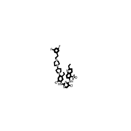 CCc1ccc2c(P(C)(C)=O)c(Nc3nc(Nc4cc(CC)c(N5CCC(N6CCN(CCc7cc(F)cc(F)c7)CC6)CC5)cc4OC)ncc3Cl)ccc2n1